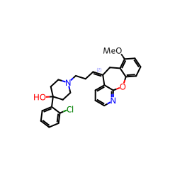 COc1cccc2c1C/C(=C/CCN1CCC(O)(c3ccccc3Cl)CC1)c1cccnc1O2